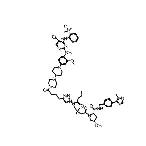 CCCC(=O)N(CC(C)(C)CC(=O)N1C[C@H](O)C[C@H]1C(=O)NCc1ccc(-c2scnc2C)cc1)n1cc(CCCC(=O)N2CCN(C3CCN(c4ccc(Nc5ncc(Cl)c(Nc6ccccc6P(C)(C)=O)n5)c(OC)c4)CC3)CC2)nn1